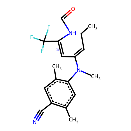 CCC=C(/C=C(\NC=O)C(F)(F)F)N(C)c1cc(C)c(C#N)cc1C